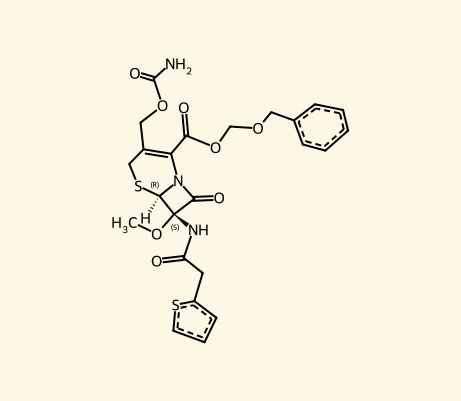 CO[C@@]1(NC(=O)Cc2cccs2)C(=O)N2C(C(=O)OCOCc3ccccc3)=C(COC(N)=O)CS[C@@H]21